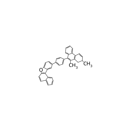 Cc1c2c(c3ccccc3c1-c1ccc(-c3ccc4oc5ccc6ccccc6c5c4c3)cc1)C=CC(C)C2